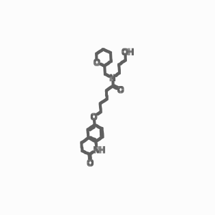 O=C1CCc2cc(OCCCCC(=O)N(CCCO)CC3CCCCO3)ccc2N1